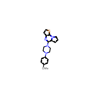 COc1ccc(N2CCN(c3nc4ccsc4n4cccc34)CC2)cc1